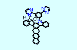 CC1(C)c2ccccc2-c2c3c(c4c5ccccc5n(-c5cc(-c6ncccn6)cc(-c6ncccn6)c5)c4c21)Cc1cc2ccccc2cc1C3